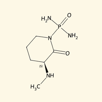 CN[C@H]1CCCN(P(N)(N)=O)C1=O